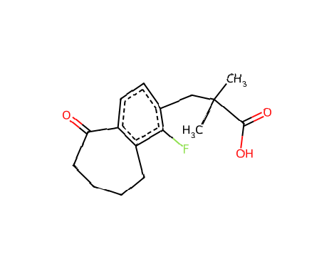 CC(C)(Cc1ccc2c(c1F)CCCCC2=O)C(=O)O